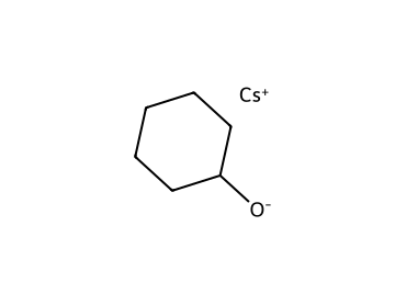 [Cs+].[O-]C1CCCCC1